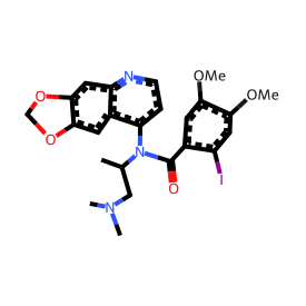 COc1cc(I)c(C(=O)N(c2ccnc3cc4c(cc23)OCO4)C(C)CN(C)C)cc1OC